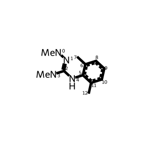 CNN=C(NC)Nc1c(C)cccc1C